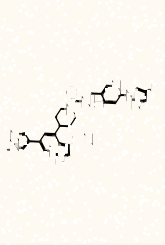 Cn1cc(-c2cc(C3CCN(C(=O)NCc4ccc(-n5cc(F)cn5)nc4)CC3)c3c(C#N)cnn3c2)cn1